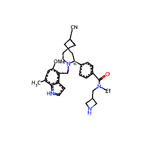 CCN(CC1CNC1)C(=O)c1ccc([C@@H]2CC3(CCN2Cc2c(OC)cc(C)c4[nH]ccc24)CC(C#N)C3)cc1